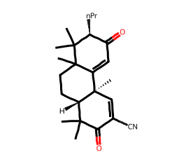 CCC[C@H]1C(=O)C=C2C(C)(CC[C@H]3C(C)(C)C(=O)C(C#N)=C[C@]23C)C1(C)C